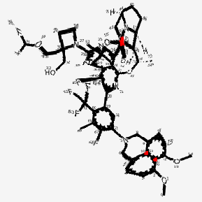 COc1ccc(CN(Cc2ccc(OC)cc2)c2cc(-c3nc4c5c(nc(N6CCC6(CO)COC(F)F)nc5c3F)N3C[C@H]5CC[C@@H]([C@H]3[C@H](C)O4)N5C(=O)OC(C)(C)C)c(C(F)(F)F)c(C)c2F)cc1